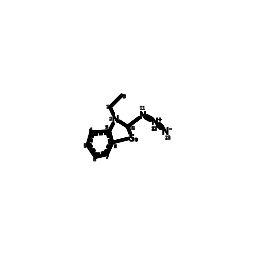 CCN1c2ccccc2SC1N=[N+]=[N-]